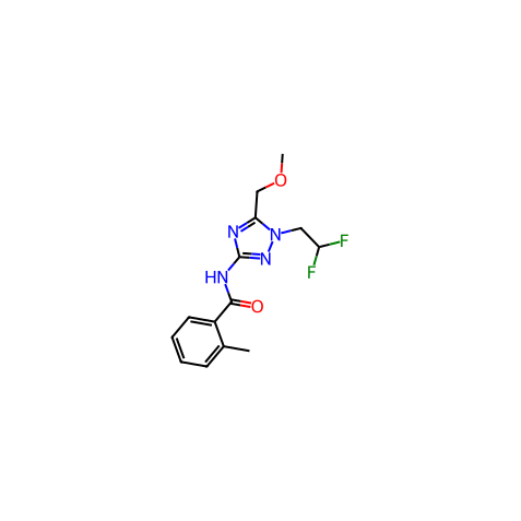 COCc1nc(NC(=O)c2ccccc2C)nn1CC(F)F